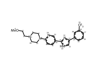 COCCN1CCN(c2ccc(-c3nc(-c4cccc(C(F)(F)F)c4)c[nH]3)cn2)CC1